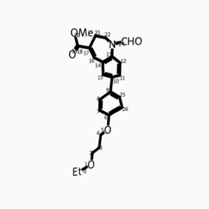 CCOCCCOc1ccc(-c2ccc3c(c2)C=C(C(=O)OC)CCN3C=O)cc1